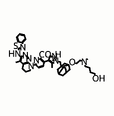 Cc1c(Nc2nc3ccccc3s2)nnc2c1CCCN2c1ccc(-c2cnn(CC34CC5CC(C3)CC(OCCN(C)CCCCO)(C5)C4)c2C)c(C(=O)O)n1